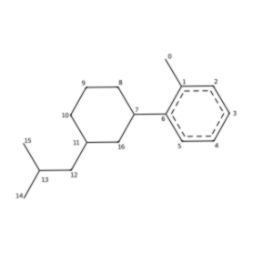 Cc1ccccc1C1CCCC(CC(C)C)C1